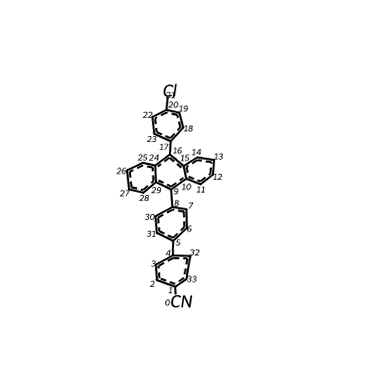 N#Cc1ccc(-c2ccc(-c3c4ccccc4c(-c4ccc(Cl)cc4)c4ccccc34)cc2)cc1